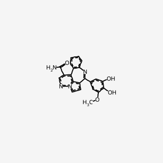 COc1cc(C2=Nc3ccccc3-c3c(C(N)=O)cnn4ccc2c34)cc(O)c1O